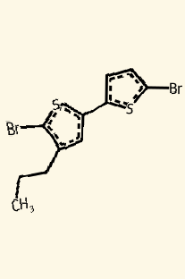 CCCc1cc(-c2ccc(Br)s2)sc1Br